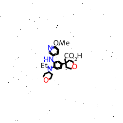 CCN(c1ccc(C2(CC(=O)O)CCOCC2)cc1Nc1ccc(OC)nc1)C1CCOCC1